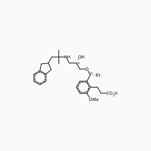 CC[C@@H](OC[C@@H](O)CNC(C)(C)CC1Cc2ccccc2C1)c1cccc(OC)c1CCC(=O)O